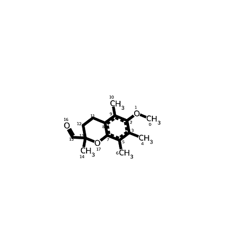 COc1c(C)c(C)c2c(c1C)CCC(C)(C=O)O2